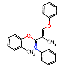 CC(=C\Oc1ccccc1)/C(=N\c1ccccc1)Oc1ccccc1C